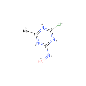 B=Nc1n[c]([Na])nc(Cl)n1